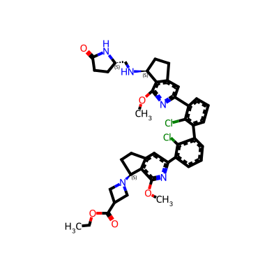 CCOC(=O)C1CN([C@H]2CCc3cc(-c4cccc(-c5cccc(-c6cc7c(c(OC)n6)[C@@H](NC[C@@H]6CCC(=O)N6)CC7)c5Cl)c4Cl)nc(OC)c32)C1